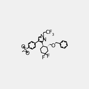 CS(=O)(=O)c1ccc(-c2cn(CC(F)(F)F)nc2[C@@H]2CCC(F)(F)C[C@H]2COCc2ccccc2)cc1